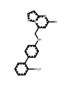 CCc1cc(CNc2ccc(-c3ccccc3S(=O)(=O)O)cc2)n2nccc2n1